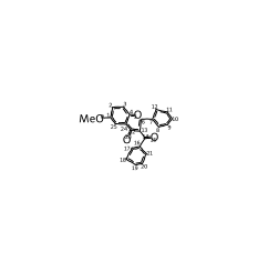 COc1ccc2oc(-c3ccccc3)c(C(=O)c3ccccc3)c(=O)c2c1